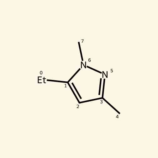 CCc1cc(C)nn1C